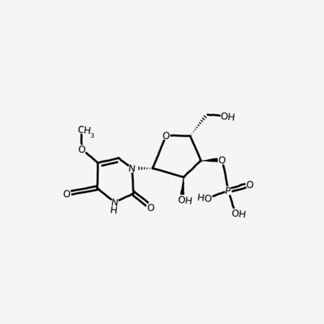 COc1cn([C@@H]2O[C@H](CO)[C@@H](OP(=O)(O)O)[C@H]2O)c(=O)[nH]c1=O